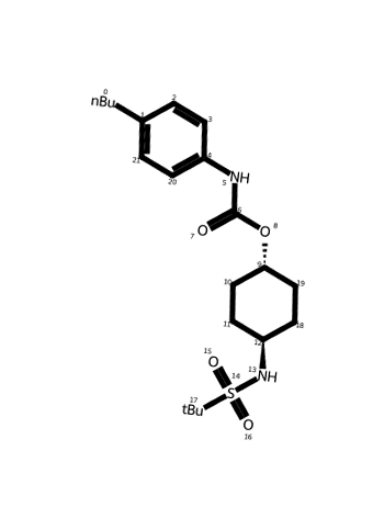 CCCCc1ccc(NC(=O)O[C@H]2CC[C@H](NS(=O)(=O)C(C)(C)C)CC2)cc1